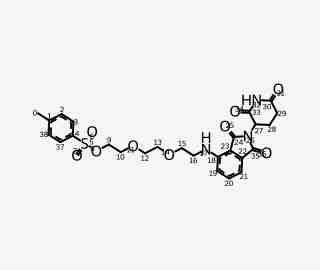 Cc1ccc(S(=O)(=O)OCCOCCOCCNc2cccc3c2C(=O)N(C2CCC(=O)NC2=O)C3=O)cc1